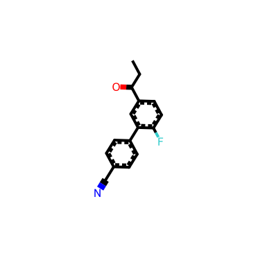 CCC(=O)c1ccc(F)c(-c2ccc(C#N)cc2)c1